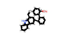 C=Cc1cc(-c2ccccc2-c2ccccc2O)cc2c1[nH]c1ccccc12